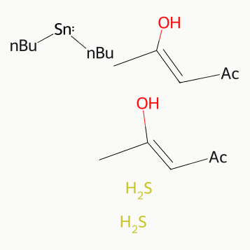 CC(=O)/C=C(/C)O.CC(=O)/C=C(/C)O.CCC[CH2][Sn][CH2]CCC.S.S